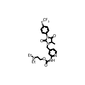 CCN(CC)CCOC(=O)Nc1cc(CN2C(=O)N(c3ccc(SC(F)(F)F)cc3)C(=O)C2C)ccn1